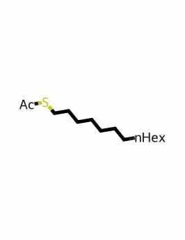 CCCCCCCCCCCCCSC(C)=O